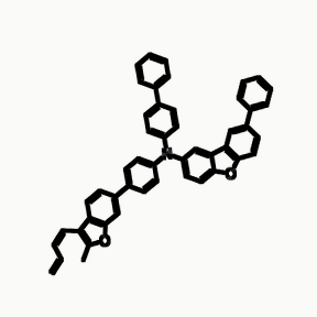 C=C/C=C\c1c(C)oc2cc(-c3ccc(N(c4ccc(-c5ccccc5)cc4)c4ccc5oc6ccc(-c7ccccc7)cc6c5c4)cc3)ccc12